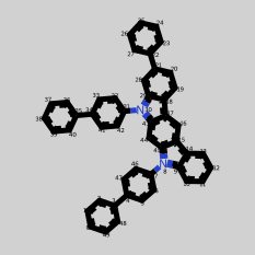 c1ccc(-c2ccc(-n3c4ccccc4c4cc5c6ccc(-c7ccccc7)cc6n(-c6ccc(-c7ccccc7)cc6)c5cc43)cc2)cc1